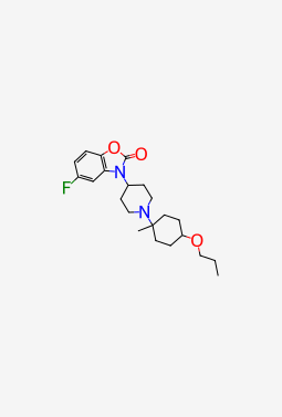 CCCOC1CCC(C)(N2CCC(n3c(=O)oc4ccc(F)cc43)CC2)CC1